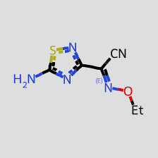 CCO/N=C(\C#N)c1nsc(N)n1